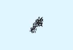 Cc1ccc(OCC2CC2)c(-c2ncnc3c(C(=O)NC4CC(NC(=O)[C@H](C)O)CC4F)c(C)[nH]c23)c1F